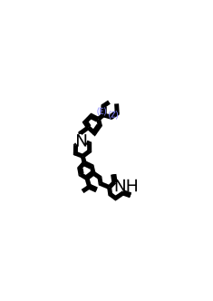 C=C1CCC(CCc2cc(C3CCN(Cc4ccc(C(/C=C\C)=C/C)cc4)CC3)ccc2C(=C)C)C(=C)N1